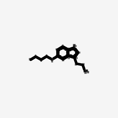 [CH2]CCCOc1ccc2[nH]cc(CCN)c2c1